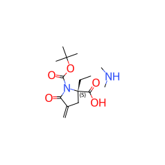 C=C1C[C@@](CC)(C(=O)O)N(C(=O)OC(C)(C)C)C1=O.CNC